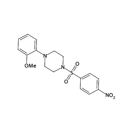 COc1ccccc1N1CCN(S(=O)(=O)c2ccc([N+](=O)[O-])cc2)CC1